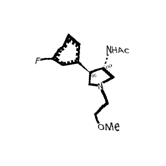 COCCN1C[C@@H](NC(C)=O)[C@H](c2cccc(F)c2)C1